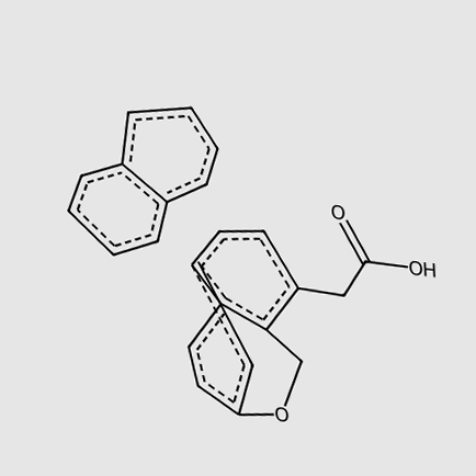 O=C(O)Cc1ccc2cc3ccc2c1CO3.c1ccc2ccccc2c1